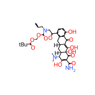 C=CCN(CC(=O)c1ccc(O)c2c1C[C@H]1C[C@H]3[C@H](N(C)C)C(O)=C(C(N)=O)C(=O)[C@@]3(O)C(O)=C1C2=O)C(=O)OCOC(=O)C(C)(C)C